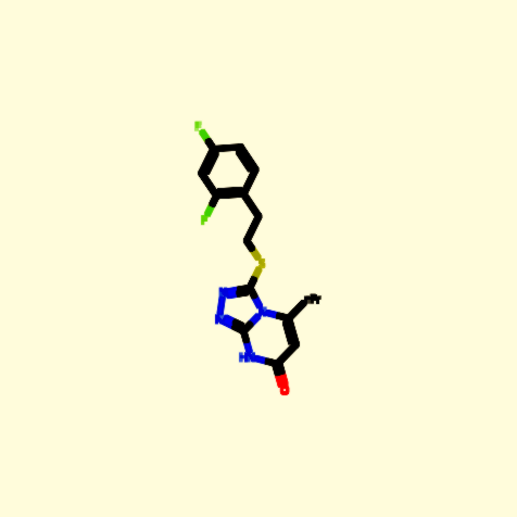 CCCc1cc(=O)[nH]c2nnc(SCCc3ccc(F)cc3F)n12